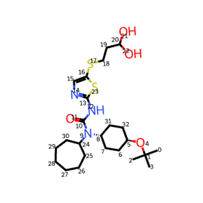 CC(C)(C)O[C@H]1CC[C@H](N(C(=O)Nc2ncc(SCCC(O)O)s2)C2CCCCCC2)CC1